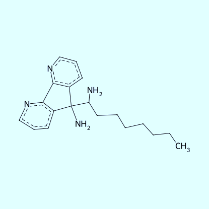 CCCCCCCC(N)C1(N)c2cccnc2-c2ncccc21